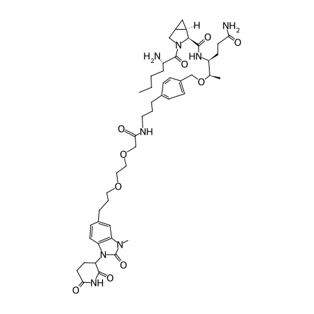 CCCC[C@H](N)C(=O)N1CC2C[C@H]2[C@H]1C(=O)N[C@@H](CCC(N)=O)[C@@H](C)OCc1ccc(CCCNC(=O)COCCOCCCc2ccc3c(c2)n(C)c(=O)n3C2CCC(=O)NC2=O)cc1